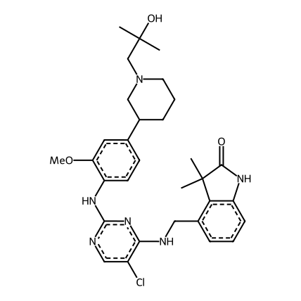 COc1cc(C2CCCN(CC(C)(C)O)C2)ccc1Nc1ncc(Cl)c(NCc2cccc3c2C(C)(C)C(=O)N3)n1